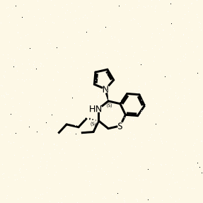 CCCC[C@@]1(CC)CSc2ccccc2[C@H](n2cccc2)N1